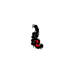 Fc1cccc(N2CCN(Cc3nc(-c4ccccc4)c(-c4cccc(-c5cccc(-c6nc(CN7CCN(Cc8ccccc8)CC7)[nH]c6-c6cccc(-c7cccc(-c8nc(CN9CCN(Cc%10ccccc%10F)CC9)[nH]c8-c8ccccc8)c7)c6)c5)c4)o3)CC2)c1